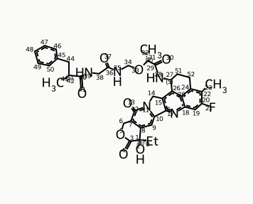 CC[C@@]1(O)C(=O)OCc2c1cc1n(c2=O)Cc2c-1nc1cc(F)c(C)c3c1c2[C@@H](NC(=O)[C@@H](C)OCNC(=O)CNC(=O)[C@@H](C)Cc1ccccc1)CC3